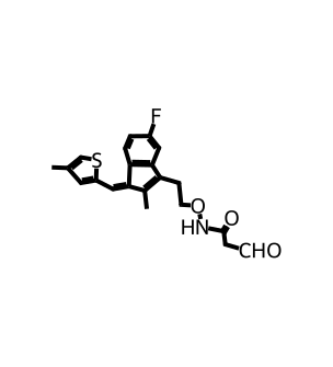 CC1=C(CCONC(=O)CC=O)c2cc(F)ccc2C1=Cc1cc(C)cs1